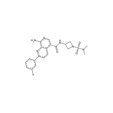 CN(C)S(=O)(=O)N1CC(NC(=O)c2cnc(N)c3nc(-c4cccc(F)c4)ccc23)C1